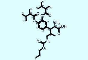 CCCOC(=O)OCC(C)C(c1ccc(OC(=O)C(C)C(C)C)c(OC(=O)C(C)C(C)C)c1)[C@H](N)C(=O)O